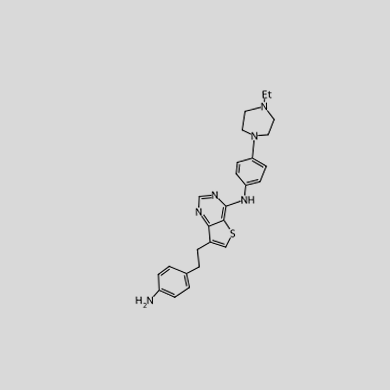 CCN1CCN(c2ccc(Nc3ncnc4c(CCc5ccc(N)cc5)csc34)cc2)CC1